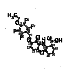 CCOc1c(F)c(F)c(COc2ccc(Cl)c(Nc3ccccc3C(=O)O)c2Cl)c(F)c1F